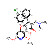 COc1cc2c(c(OC)n1)[C@]1(O)C(=O)[C@H](CN(C)C)[C@@H](c3ccccc3)[C@]1(c1ccc(Br)cc1)O2